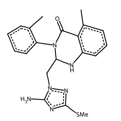 CSc1nc(N)n(CC2Nc3cccc(C)c3C(=O)N2c2ccccc2C)n1